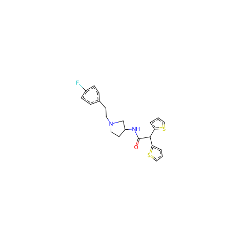 O=C(NC1CCN(CCc2ccc(F)cc2)C1)C(c1cccs1)c1cccs1